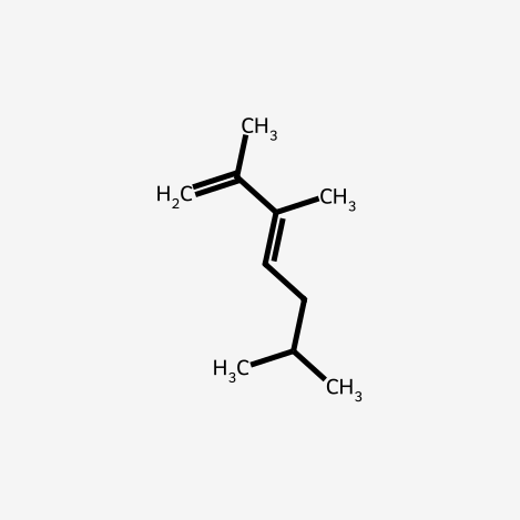 C=C(C)/C(C)=C/CC(C)C